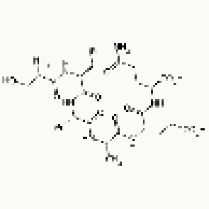 CC(C)C[C@H](NC(=O)[C@@H](N)CO)C(=O)N[C@H](C(=O)N[C@@H](C)C(=O)N[C@@H](CCC(=O)O)C(=O)N[C@@H](CCC(N)=O)C(=O)O)C(C)C